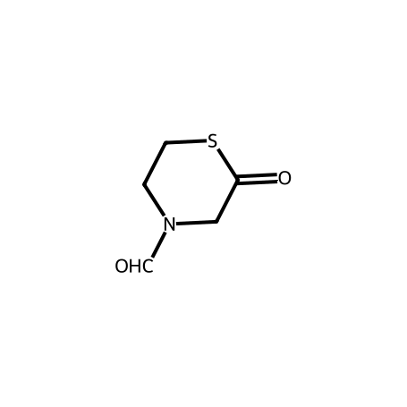 O=CN1CCSC(=O)C1